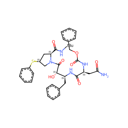 CC(C)(C)NC(=O)[C@@H]1C[C@H](Sc2ccccc2)CN1C(=O)[C@@H](O)[C@H](Cc1ccccc1)NC(=O)[C@H](CC(N)=O)NC(=O)OCc1ccccc1